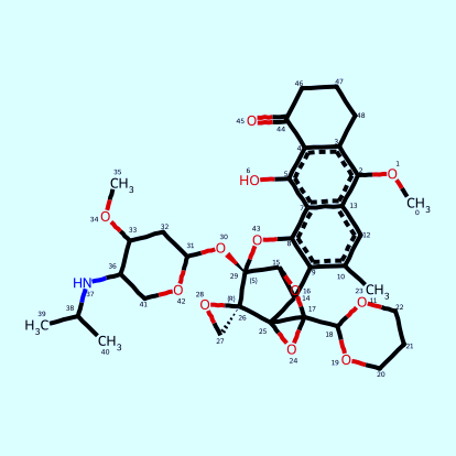 COc1c2c(c(O)c3c4c(c(C)cc13)C1C3OC5(C6OCCCO6)OC15[C@]1(CO1)[C@]3(OC1CC(OC)C(NC(C)C)CO1)O4)C(=O)CCC2